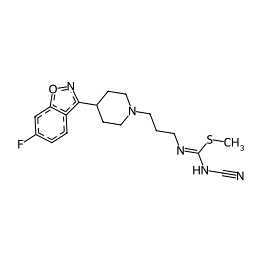 CS/C(=N\CCCN1CCC(c2noc3cc(F)ccc23)CC1)NC#N